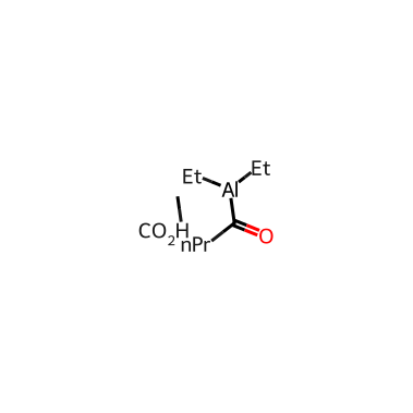 CC(=O)O.CCC[C](=O)[Al]([CH2]C)[CH2]C